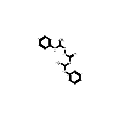 CC(OOC(=O)OC(C)Oc1ccccc1)Oc1ccccc1